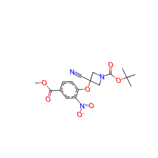 COC(=O)c1ccc(OC2(C#N)CN(C(=O)OC(C)(C)C)C2)c([N+](=O)[O-])c1